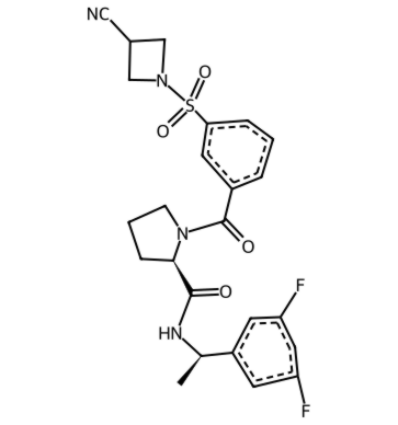 C[C@@H](NC(=O)[C@H]1CCCN1C(=O)c1cccc(S(=O)(=O)N2CC(C#N)C2)c1)c1cc(F)cc(F)c1